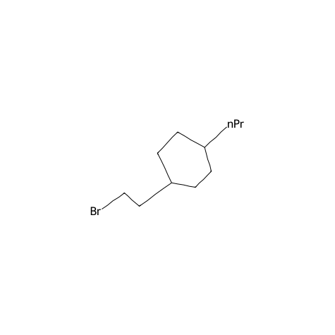 CCCC1CCC(CCBr)CC1